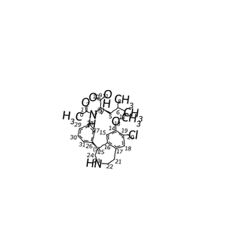 CC(=O)N[C@H](CC(C)C)C(=O)O.COc1cc2c(cc1Cl)CCNC[C@H]2c1ccccc1